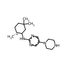 C[C@@H]1CCC(C)(C)CC1Nc1ncc(N2CCNCC2)cn1